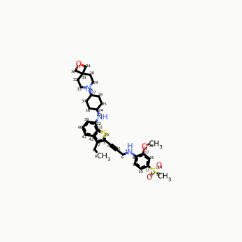 CCc1c(C#CCNc2ccc(S(C)(=O)=O)cc2OC)sc2c(NC3CCC(N4CCC5(CC4)COC5)CC3)cccc12